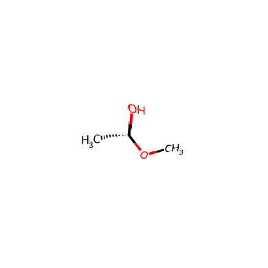 CO[C@H](C)O